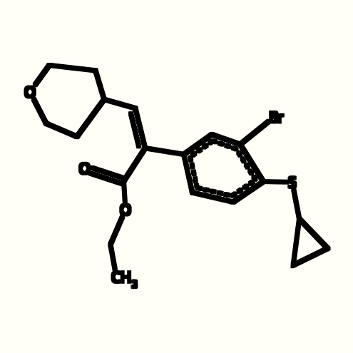 CCOC(=O)C(=CC1CCOCC1)c1ccc(SC2CC2)c(Br)c1